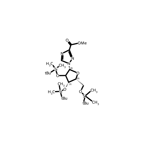 COC(=O)c1ncn([C@@H]2O[C@H](CO[Si](C)(C)C(C)(C)C)[C@H](O[Si](C)(C)C(C)(C)C)C2O[Si](C)(C)C(C)(C)C)n1